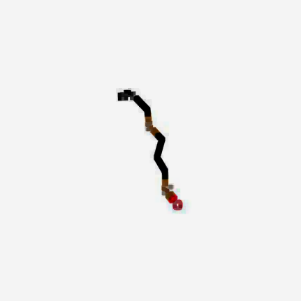 CCCCSCCC[S+]=O